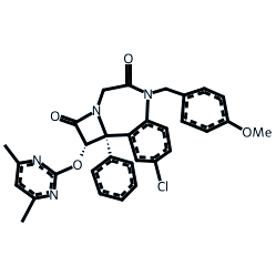 COc1ccc(CN2C(=O)CN3C(=O)[C@@H](Oc4nc(C)cc(C)n4)[C@]3(c3ccccc3)c3cc(Cl)ccc32)cc1